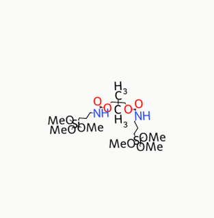 CO[Si](CCCNC(=O)OCC(C)(C)COC(=O)NCCC[Si](OC)(OC)OC)(OC)OC